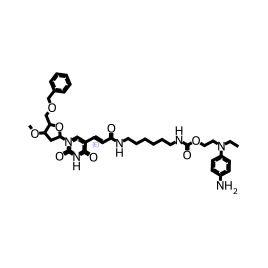 CCN(CCOC(=O)NCCCCCCNC(=O)/C=C/c1cn(C2CC(OC)C(COCc3ccccc3)O2)c(=O)[nH]c1=O)c1ccc(N)cc1